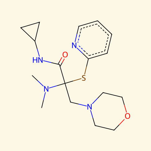 CN(C)C(CN1CCOCC1)(Sc1ccccn1)C(=O)NC1CC1